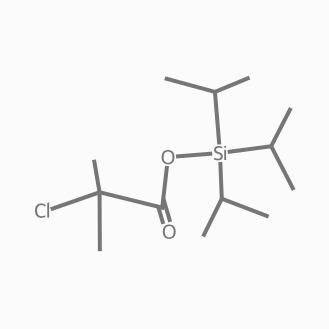 CC(C)[Si](OC(=O)C(C)(C)Cl)(C(C)C)C(C)C